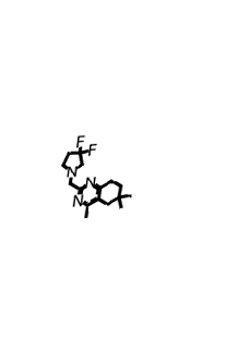 Cc1nc(CN2CCC(F)(F)C2)nc2c1CC(C)(C)CC2